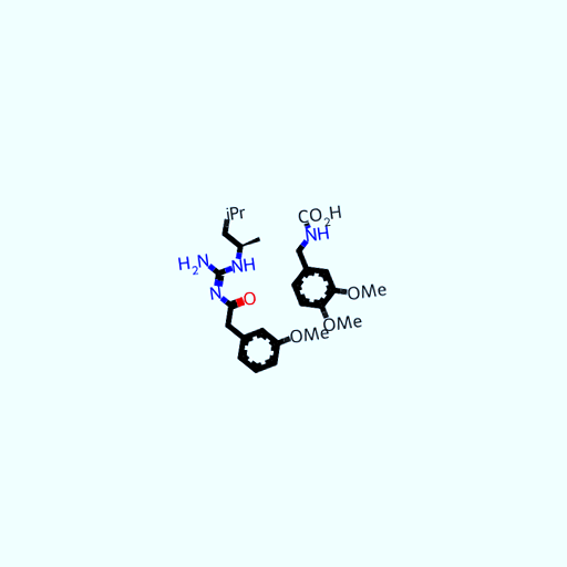 COc1ccc(CNC(=O)O)cc1OC.COc1cccc(CC(=O)N=C(N)N[C@H](C)CC(C)C)c1